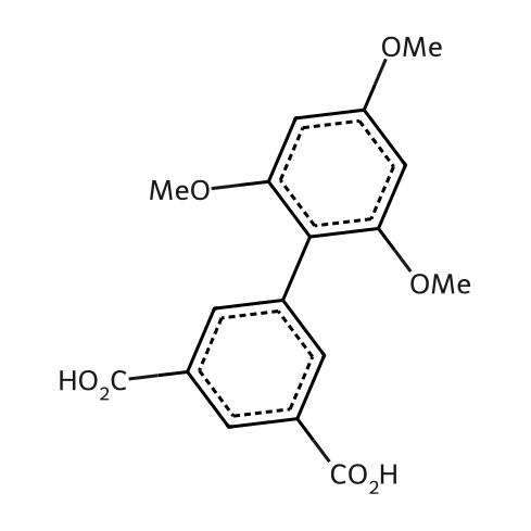 COc1cc(OC)c(-c2cc(C(=O)O)cc(C(=O)O)c2)c(OC)c1